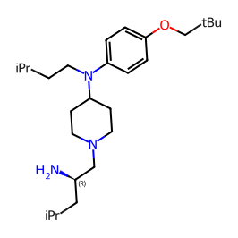 CC(C)CCN(c1ccc(OCC(C)(C)C)cc1)C1CCN(C[C@H](N)CC(C)C)CC1